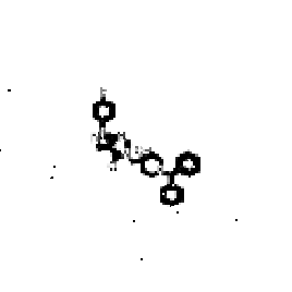 O=c1c2cnn(-c3ccc(F)cc3)c2ncn1CC1(O)CCN(C(c2ccccc2)c2ccccc2)CC1